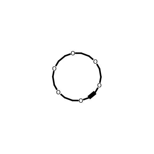 C1#COCCOCCOCCOCCOCCO1